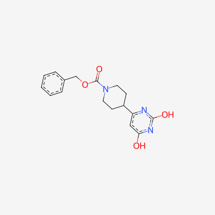 O=C(OCc1ccccc1)N1CCC(c2cc(O)nc(O)n2)CC1